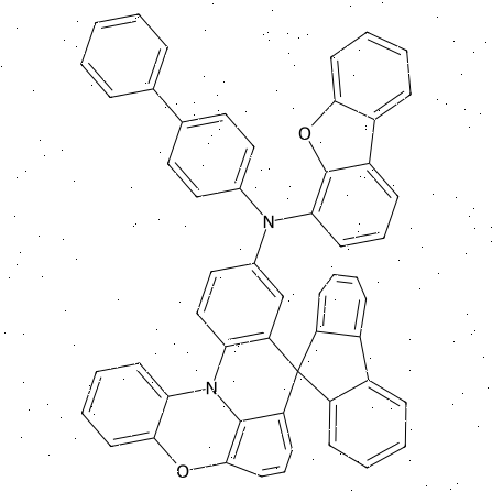 c1ccc(-c2ccc(N(c3ccc4c(c3)C3(c5ccccc5-c5ccccc53)c3cccc5c3N4c3ccccc3O5)c3cccc4c3oc3ccccc34)cc2)cc1